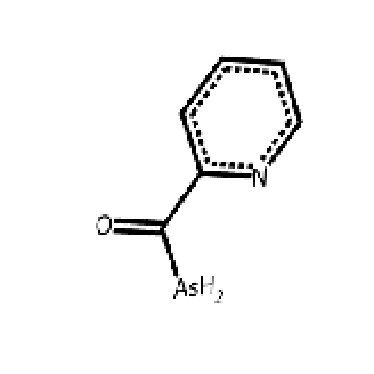 O=C([AsH2])c1ccccn1